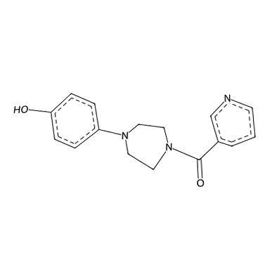 O=C(c1cccnc1)N1CCN(c2ccc(O)cc2)CC1